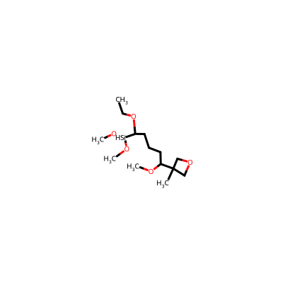 CCOC(CCCC(OC)C1(C)COC1)[SiH](OC)OC